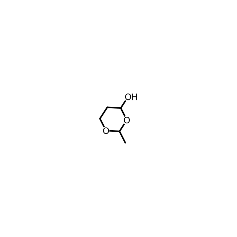 CC1OCCC(O)O1